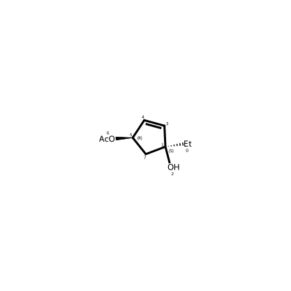 CC[C@@]1(O)C=C[C@H](OC(C)=O)C1